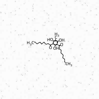 CCCCCCCCC(=O)c1c(O)c(C)c(O)c(C(=O)CCCCCCCC)c1O